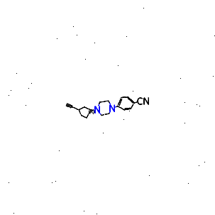 C#CC1CC[C@@H](N2CCN(c3ccc(C#N)cc3)CC2)C1